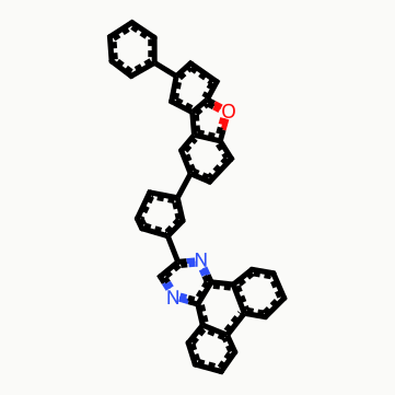 c1ccc(-c2ccc3oc4ccc(-c5cccc(-c6cnc7c8ccccc8c8ccccc8c7n6)c5)cc4c3c2)cc1